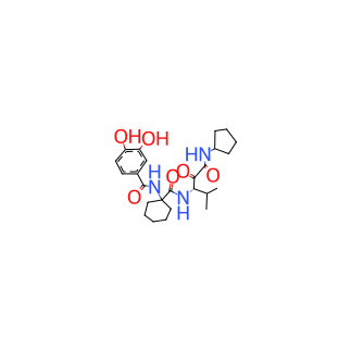 CC(C)[C@H](NC(=O)C1(NC(=O)c2ccc(O)c(O)c2)CCCCC1)C(=O)C(=O)NC1CCCC1